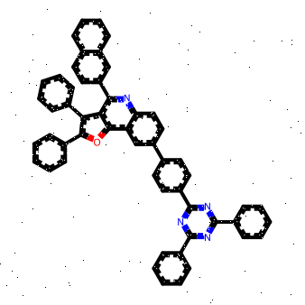 c1ccc(-c2nc(-c3ccccc3)nc(-c3ccc(-c4ccc5nc(-c6ccc7ccccc7c6)c6c(-c7ccccc7)c(-c7ccccc7)oc6c5c4)cc3)n2)cc1